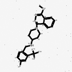 COc1nnc(N2CCC(NCc3ccc(F)cc3C(F)(F)F)CC2)c2ccccc12